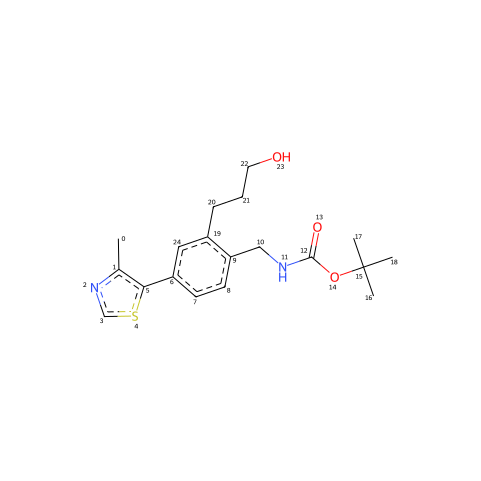 Cc1ncsc1-c1ccc(CNC(=O)OC(C)(C)C)c(CCCO)c1